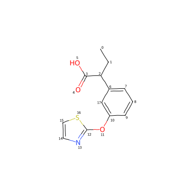 CCC(C(=O)O)c1cccc(Oc2nccs2)c1